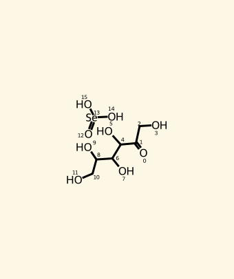 O=C(CO)C(O)C(O)C(O)CO.O=[Se](O)O